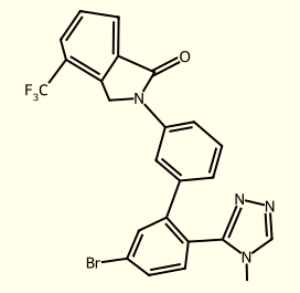 Cn1cnnc1-c1ccc(Br)cc1-c1cccc(N2Cc3c(cccc3C(F)(F)F)C2=O)c1